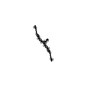 C=CC(=O)OCCCCCCOc1ccc(OC(=O)C2CCC(C(=O)Oc3ccc(OC(=O)C4CCC(C(=O)Oc5ccc(OCCCCCCOC(=O)C=C)cc5)CC4)c4sc(-c5cccs5)nc34)CC2)cc1